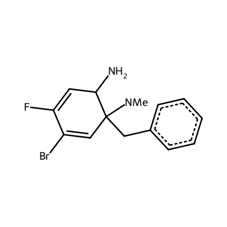 CNC1(Cc2ccccc2)C=C(Br)C(F)=CC1N